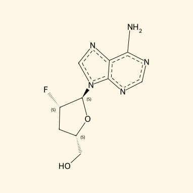 Nc1ncnc2c1ncn2[C@H]1O[C@H](CO)C[C@@H]1F